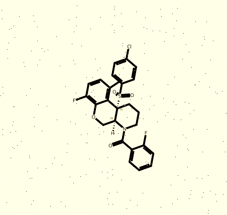 O=C(c1ccccc1F)N1CCC[C@]2(S(=O)(=O)c3ccc(Cl)cc3)c3c(F)ccc(F)c3OC[C@H]12